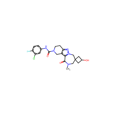 CN1CC2(CC(O)C2)Cn2nc3c(c2C1=O)CN(C(=O)Nc1ccc(F)c(Cl)c1)CC3